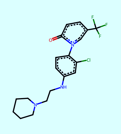 O=c1ccc(C(F)(F)F)cn1-c1ccc(NCCN2CCCCC2)cc1Cl